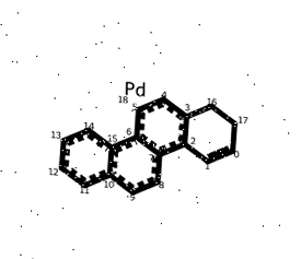 C1=Cc2c(ccc3c2ccc2ccccc23)CC1.[Pd]